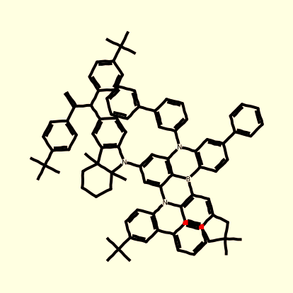 C=C(c1ccc(C(C)(C)C)cc1)C(c1ccc(C(C)(C)C)cc1)c1ccc2c(c1)C1(C)CCCCC1(C)N2c1cc2c3c(c1)N(c1ccc(C(C)(C)C)cc1-c1ccccc1)c1cc4c(cc1B3c1ccc(-c3ccccc3)cc1N2c1cccc(-c2ccccc2)c1)CC(C)(C)C4